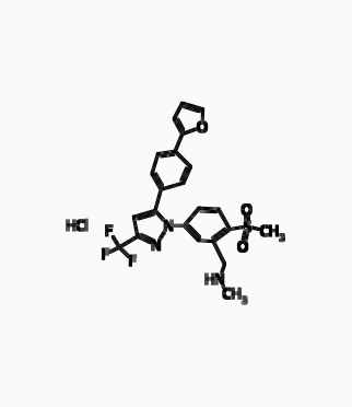 CNCc1cc(-n2nc(C(F)(F)F)cc2-c2ccc(-c3ccco3)cc2)ccc1S(C)(=O)=O.Cl